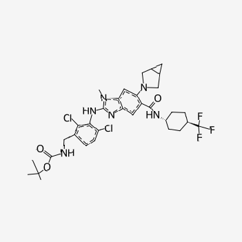 Cn1c(Nc2c(Cl)ccc(CNC(=O)OC(C)(C)C)c2Cl)nc2cc(C(=O)N[C@H]3CC[C@H](C(F)(F)F)CC3)c(N3CC4CC4C3)cc21